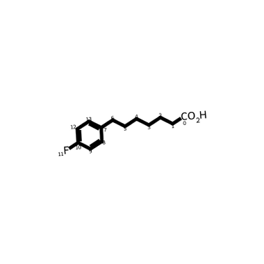 O=C(O)CCCCCCc1ccc(F)cc1